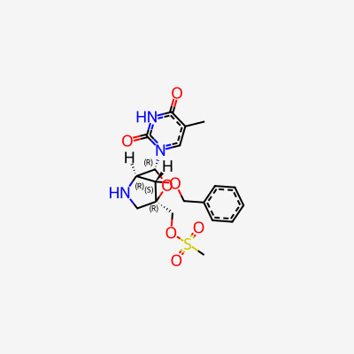 Cc1cn([C@@H]2O[C@@]3(COS(C)(=O)=O)CN[C@@H]2[C@@H]3OCc2ccccc2)c(=O)[nH]c1=O